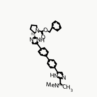 CN[C@@H](C)c1ncc(-c2ccc(-c3ccc(-c4cnc([C@@H]5CCCN5C(=O)OCc5ccccc5)[nH]4)cc3)cc2)[nH]1